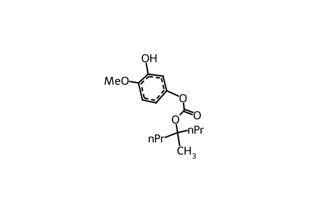 CCCC(C)(CCC)OC(=O)Oc1ccc(OC)c(O)c1